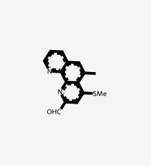 CSc1cc(C=O)nc2c1c(C)cc1cccnc12